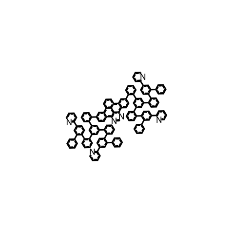 c1ccc(-c2cc(-c3ccccn3)ccc2-c2ccccc2-c2cc(-c3ccccc3-c3ccc4c(c3)c3cccc5c6cc(-c7ccccc7-c7cc(-c8ccccc8-c8ccc(-c9ccccn9)cc8-c8ccccc8)cc(-c8ccccc8-c8ccc(-c9ccccn9)cc8-c8ccccc8)c7)ccc6c6ncnc4c6c35)cc(-c3ccccc3-c3ccc(-c4ccccn4)cc3-c3ccccc3)c2)cc1